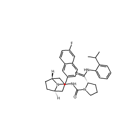 CC(C)c1ccccc1NC(=O)[C@@H]1CCCN1C(=O)NC1C[C@H]2CC[C@H](C1)N2Cc1ccc2cc(F)ccc2c1